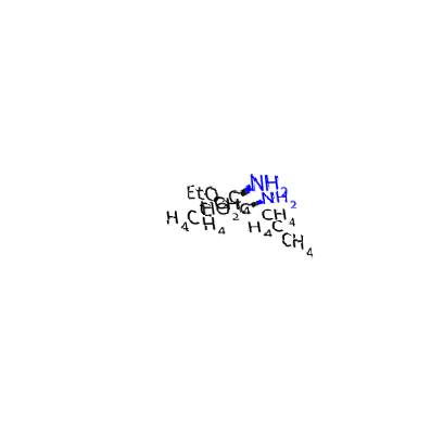 C.C.C.C.C.C.CCOC(N)=O.NC(=O)O